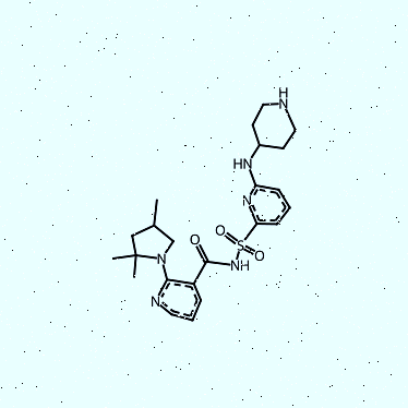 CC1CN(c2ncccc2C(=O)NS(=O)(=O)c2cccc(NC3CCNCC3)n2)C(C)(C)C1